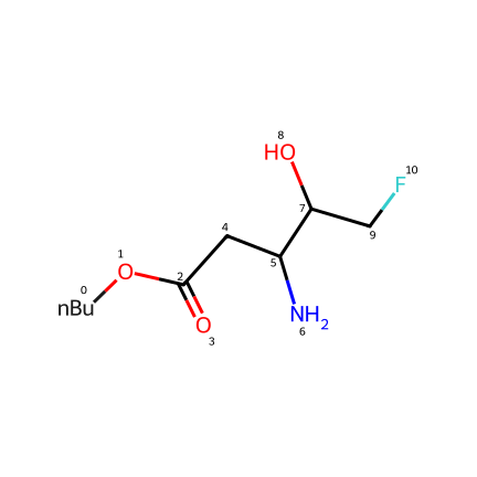 CCCCOC(=O)CC(N)C(O)CF